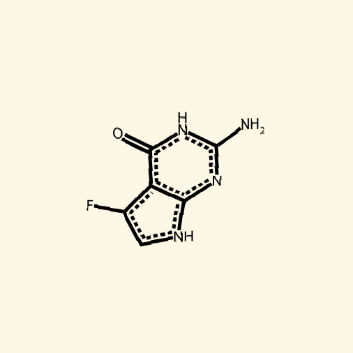 Nc1nc2[nH]cc(F)c2c(=O)[nH]1